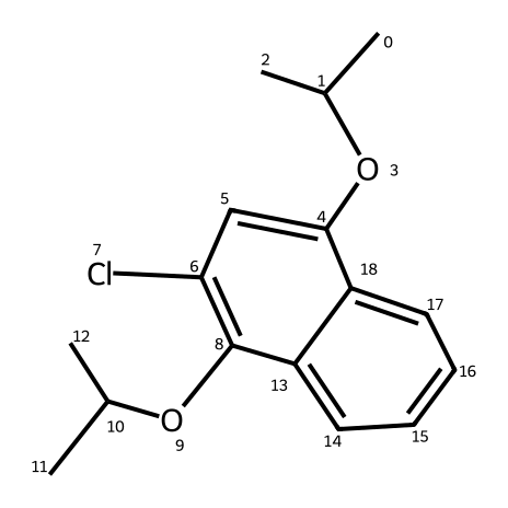 CC(C)Oc1cc(Cl)c(OC(C)C)c2ccccc12